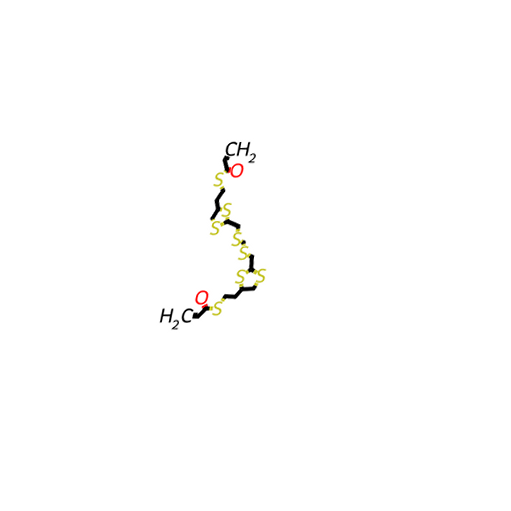 C=CC(=O)SCCC1CSC(CSCSCC2SCC(CCSC(=O)C=C)S2)S1